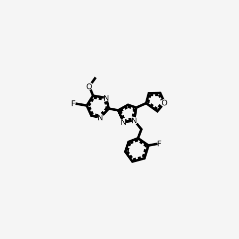 COc1nc(-c2cc(-c3ccoc3)n(Cc3ccccc3F)n2)ncc1F